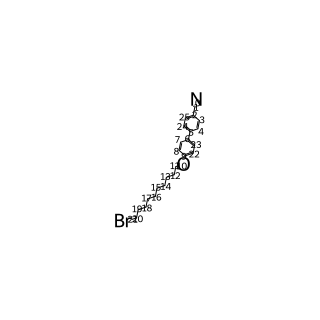 N#Cc1ccc(-c2ccc(OCCCCCCCCCCBr)cc2)cc1